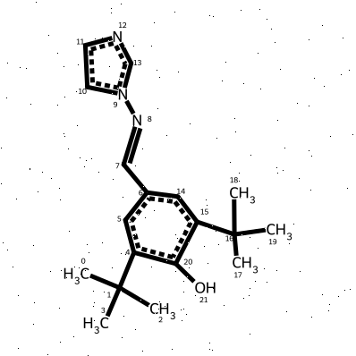 CC(C)(C)c1cc(C=Nn2ccnc2)cc(C(C)(C)C)c1O